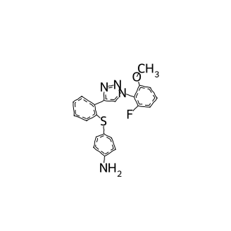 COc1cccc(F)c1-n1cc(-c2ccccc2Sc2ccc(N)cc2)nn1